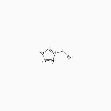 CC(=O)Cc1conn1